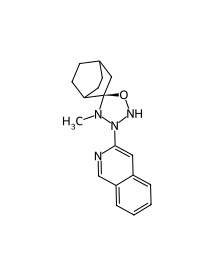 CN1N(c2cc3ccccc3cn2)NO[C@@]12CC1CCC2CC1